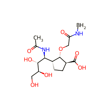 BNC(=O)CO[C@H]1[C@@H]([C@H](NC(C)=O)[C@@H](O)[C@@H](O)CO)CC[C@@H]1C(=O)O